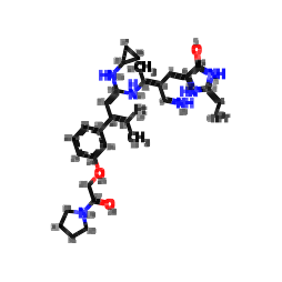 CCC/C=c1/[nH]c(=O)/c(=C/C(C=N)=C(\C)N/C(=C\C(=C(\C)CC)c2cccc(OCC(=O)N3CCCC3)c2)NC2CC2)[nH]1